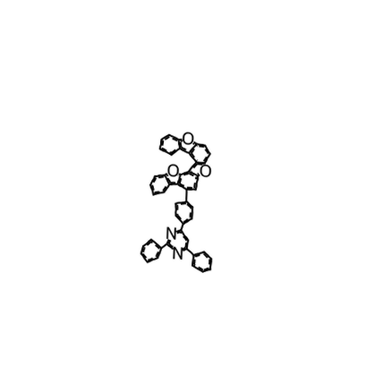 c1ccc(-c2cc(-c3ccc(-c4cc5oc6ccc7oc8ccccc8c7c6c5c5oc6ccccc6c45)cc3)nc(-c3ccccc3)n2)cc1